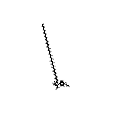 CCCCCCCCCCCCCCCCCCCCCCCCCCCCCCCCCC1=NNC(C=S)N1c1ccc(OCC)cc1